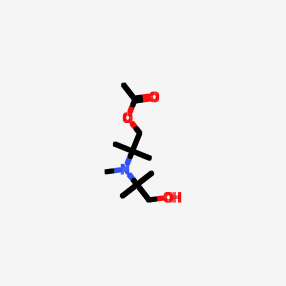 CC(=O)OCC(C)(C)N(C)C(C)(C)CO